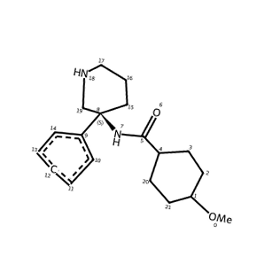 COC1CCC(C(=O)N[C@]2(c3ccccc3)CCCNC2)CC1